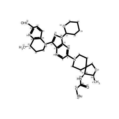 C[C@@H]1OCC2(CCN(c3cnc4c(N5CC[C@H](C)c6nc(C=O)ccc65)nn(C5CCCCO5)c4n3)CC2)[C@@H]1NC(=O)OC(C)(C)C